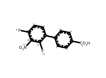 O=C(O)c1ccc(-c2ccc(F)c([N+](=O)[O-])c2F)cc1